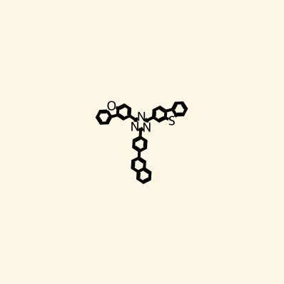 c1ccc2cc(-c3ccc(-c4nc(-c5ccc6c(c5)sc5ccccc56)nc(-c5ccc6oc7ccccc7c6c5)n4)cc3)ccc2c1